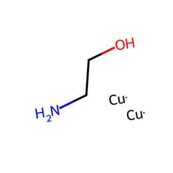 NCCO.[Cu].[Cu]